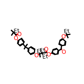 CCC(C)(C)Oc1ccc(C(=O)c2ccc(OC(=O)C(CC)(CC)C(C)(CC)Oc3ccc(C(C)(C)c4ccc(OC(=O)C(C)(C)CC)cc4)cc3)cc2)cc1